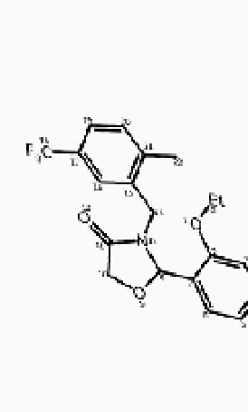 CCOc1ccccc1C1OCC(=O)N1Cc1cc(C(F)(F)F)ccc1C